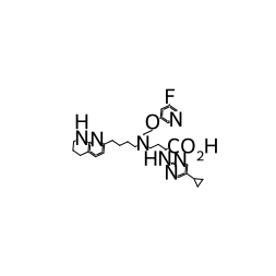 O=C(O)C(CCN(CCCCc1ccc2c(n1)NCCC2)CCOc1cncc(F)c1)Nc1ncc(C2CC2)cn1